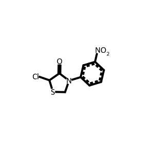 O=C1C(Cl)SCN1c1cccc([N+](=O)[O-])c1